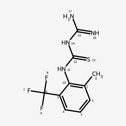 Cc1cccc(C(F)(F)F)c1NC(=S)NC(=N)N